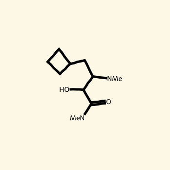 CNC(=O)C(O)C(CC1CCC1)NC